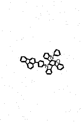 c1ccc(-n2c3ccccc3c3c2c2oc4ccccc4c2c2c4ccccc4n(-c4ccc(-c5ccc6c7c(cccc57)-c5ccccc5-6)cc4)c23)cc1